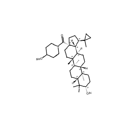 COC1CCN(C(=O)[C@]23CC[C@@H](C4(C)CC4)[C@@H]2[C@H]2CC[C@@H]4[C@@]5(C)CC[C@H](OC(C)=O)C(C)(C)[C@@H]5CC[C@@]4(C)[C@]2(C)CC3)CC1